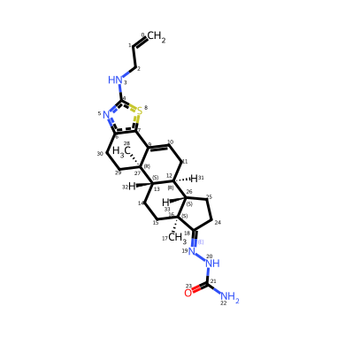 C=CCNc1nc2c(s1)C1=CC[C@@H]3[C@H](CC[C@]4(C)/C(=N/NC(N)=O)CC[C@@H]34)[C@@]1(C)CC2